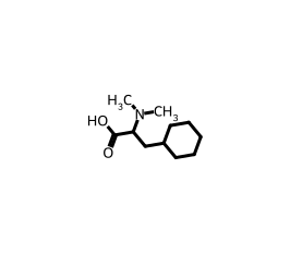 CN(C)C(CC1CCCCC1)C(=O)O